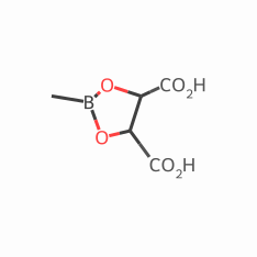 CB1OC(C(=O)O)C(C(=O)O)O1